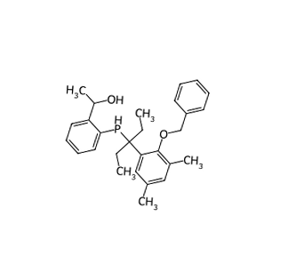 CCC(CC)(Pc1ccccc1C(C)O)c1cc(C)cc(C)c1OCc1ccccc1